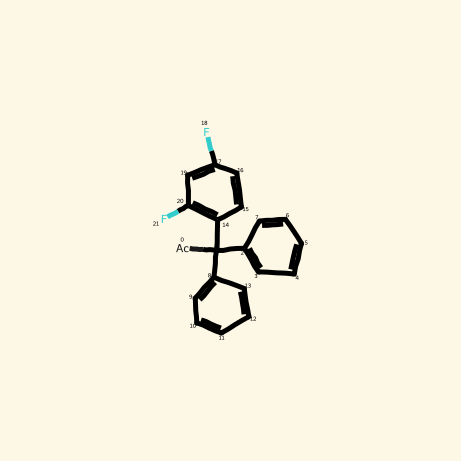 CC(=O)C(c1ccccc1)(c1ccccc1)c1ccc(F)cc1F